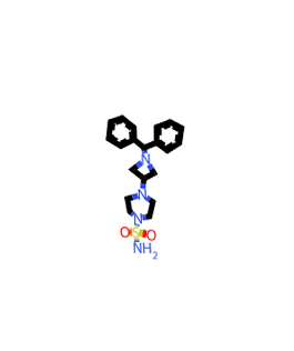 NS(=O)(=O)N1CCN(C2CN(C(c3ccccc3)c3ccccc3)C2)CC1